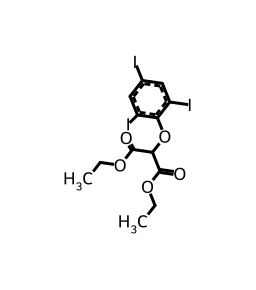 CCOC(=O)C(Oc1c(I)cc(I)cc1I)C(=O)OCC